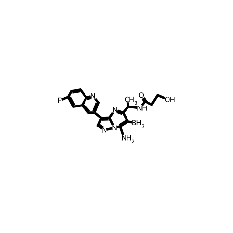 Bc1c(C(C)NC(=O)CCO)nc2c(-c3cnc4ccc(F)cc4c3)cnn2c1N